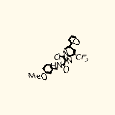 COc1cccc(CNC(=O)c2nc3c(C(F)(F)F)cc(C4CC=CO4)cn3c2Cl)c1